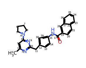 Cc1[c]c(N2CCCC2)nc(Cc2ccc(NC(=O)c3ccc4ccccc4c3)cc2)n1